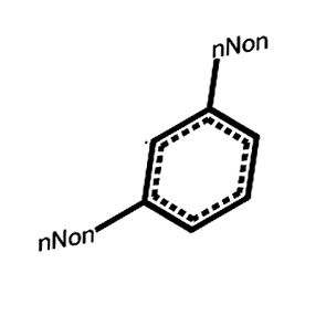 CCCCCCCCCc1[c]c(CCCCCCCCC)ccc1